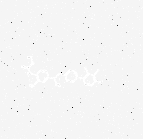 CCCOC(=O)Nc1ccc(N(C)Cc2ccc(-c3ccc(F)c(F)c3F)cc2)cc1C